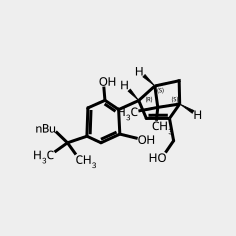 CCCCC(C)(C)c1cc(O)c([C@H]2C=C(CO)[C@H]3C[C@@H]2C3(C)C)c(O)c1